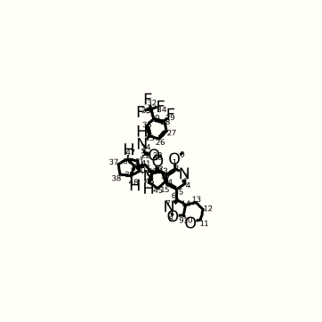 COc1ncc(C2=NOC3OCCCC23)cc1C(=O)N[C@H]1[C@@H](C(=O)Nc2ccc(F)c(C(F)(F)F)c2)[C@H]2CC[C@@H]1/C2=C\C1CCCC1